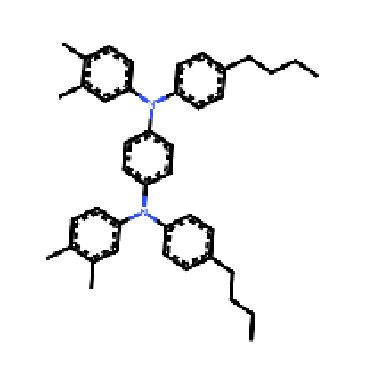 CCCCc1ccc(N(c2ccc(N(c3ccc(CCCC)cc3)c3ccc(C)c(C)c3)cc2)c2ccc(C)c(C)c2)cc1